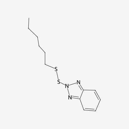 CCCCCCSSn1nc2ccccc2n1